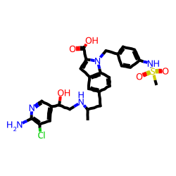 CC(Cc1ccc2c(c1)cc(C(=O)O)n2Cc1ccc(NS(C)(=O)=O)cc1)NCC(O)c1cnc(N)c(Cl)c1